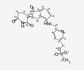 CS(=O)(=O)OCc1ccc(CNc2cccc3c2C[C@@H](C2CCC(=O)NC2=O)C3=O)nc1